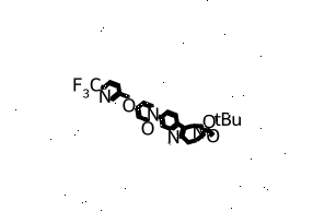 Cn1c2c(c3ccc(-n4ccc(OCc5ccc(C(F)(F)F)nc5)cc4=O)cc31)C1CCC(C2)N1C(=O)OC(C)(C)C